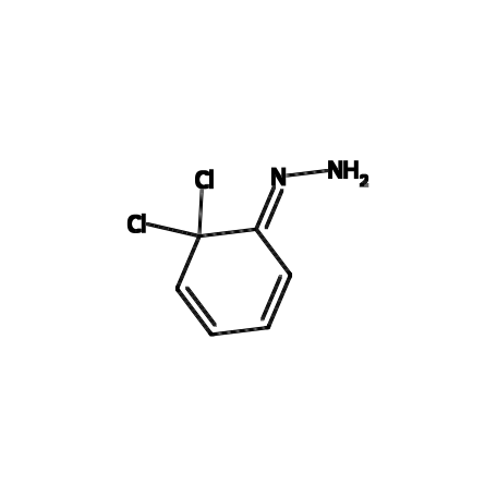 NN=C1C=CC=CC1(Cl)Cl